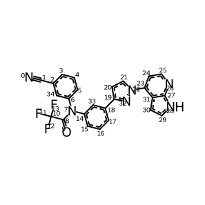 N#Cc1cccc(N(C(=O)C(F)(F)F)c2cccc(-c3ccn(-c4ccnc5[nH]ccc45)n3)c2)c1